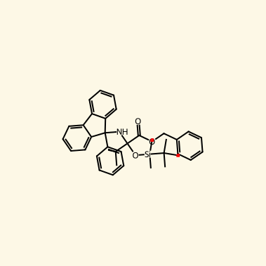 CC(C)C(NC1(c2ccccc2)c2ccccc2-c2ccccc21)(O[Si](C)(C)C(C)(C)C)C(=O)OCc1ccccc1